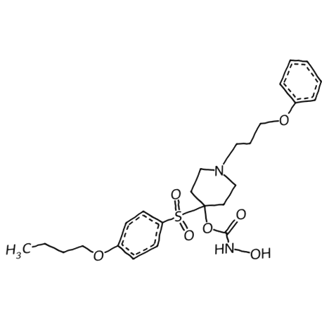 CCCCOc1ccc(S(=O)(=O)C2(OC(=O)NO)CCN(CCCOc3ccccc3)CC2)cc1